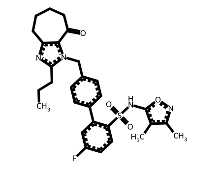 CCCc1nc2c(n1Cc1ccc(-c3cc(F)ccc3S(=O)(=O)Nc3onc(C)c3C)cc1)C(=O)CCCC2